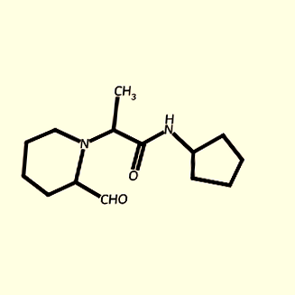 CC(C(=O)NC1CCCC1)N1CCCCC1C=O